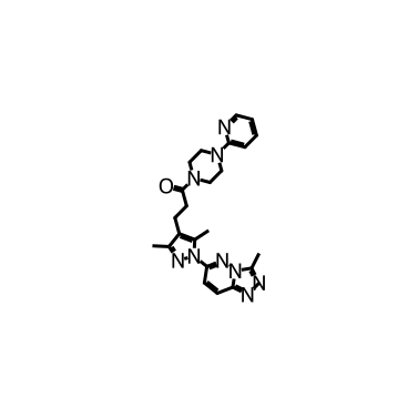 Cc1nn(-c2ccc3nnc(C)n3n2)c(C)c1CCC(=O)N1CCN(c2ccccn2)CC1